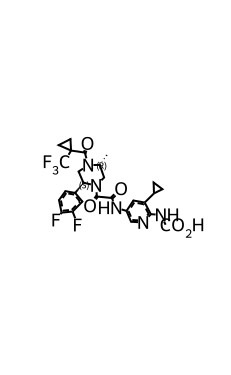 C[C@@H]1CN(C(=O)C(=O)Nc2cnc(NC(=O)O)c(C3CC3)c2)[C@@H](c2ccc(F)c(F)c2)CN1C(=O)C1(C(F)(F)F)CC1